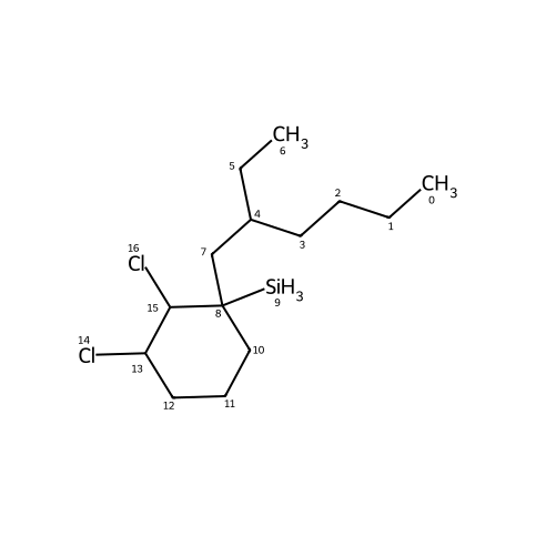 CCCCC(CC)CC1([SiH3])CCCC(Cl)C1Cl